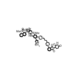 COc1cc(N2CCN(CCCC3CCN(c4cccc5c4C(=O)N(C4CCC(=O)NC4=O)C5=O)CC3)CC2)c(-c2cnn(C)c2)cc1Nc1ncc(Br)c(Nc2ccc3ccccc3c2P(=O)(OC)OC)n1